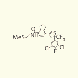 CSCCNC(=O)c1ccc(C2=CSC(c3cc(Cl)c(F)c(Cl)c3)(C(F)(F)F)C2)c2c1CCC2